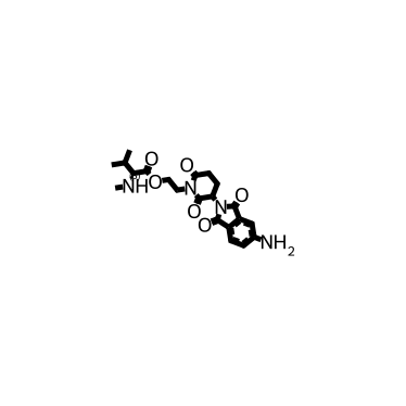 CN[C@H](C(=O)OCCN1C(=O)CCC(N2C(=O)c3ccc(N)cc3C2=O)C1=O)C(C)C